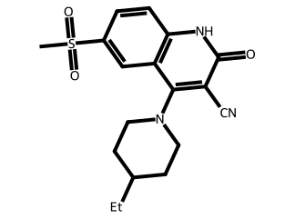 CCC1CCN(c2c(C#N)c(=O)[nH]c3ccc(S(C)(=O)=O)cc23)CC1